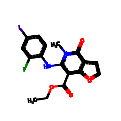 CCOC(=O)c1c(Nc2ccc(I)cc2F)n(C)c(=O)c2ccoc12